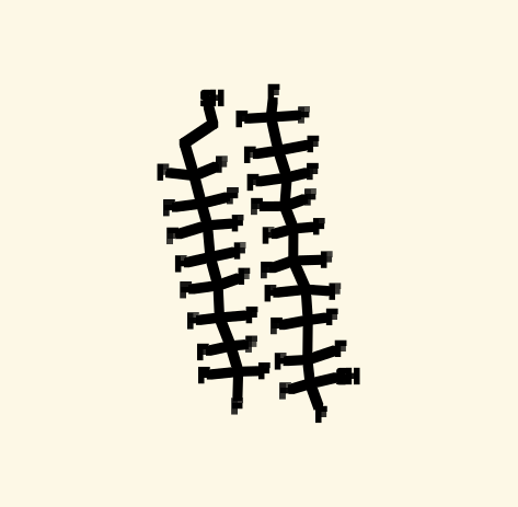 FC(F)(F)C(F)(F)C(F)(F)C(F)(F)C(F)(F)C(F)(F)C(F)(F)C(F)(F)C(F)(F)C(F)(F)S.FC(F)(F)C(F)(F)C(F)(F)C(F)(F)C(F)(F)C(F)(F)C(F)(F)C(F)(F)CCS